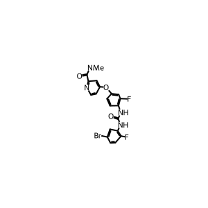 CNC(=O)c1cc(Oc2ccc(NC(=O)Nc3cc(Br)ccc3F)c(F)c2)ccn1